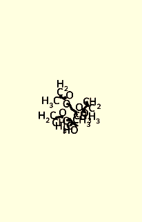 C=C(C)C(=O)OCC(C)(C)CO.C=C(C)C(=O)OCCC(C)OC(=O)C(=C)C